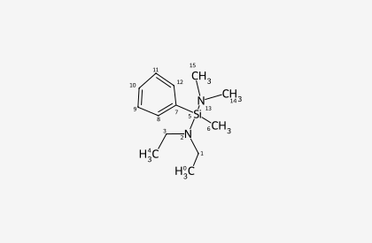 CCN(CC)[Si](C)(c1ccccc1)N(C)C